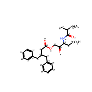 CC(=O)NC(C(=O)NC(CC(=O)O)C(=O)COC(=O)CC(Cc1ccccc1)Cc1ccccc1)C(C)C